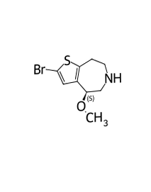 CO[C@@H]1CNCCc2sc(Br)cc21